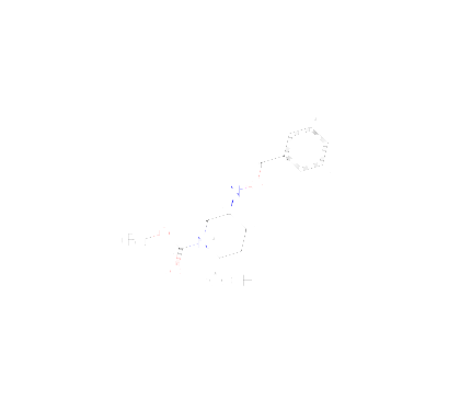 CC(C)(C)OC(=O)N1C[C@@H](NOCc2ccccc2)CC[C@@H]1C(=O)O